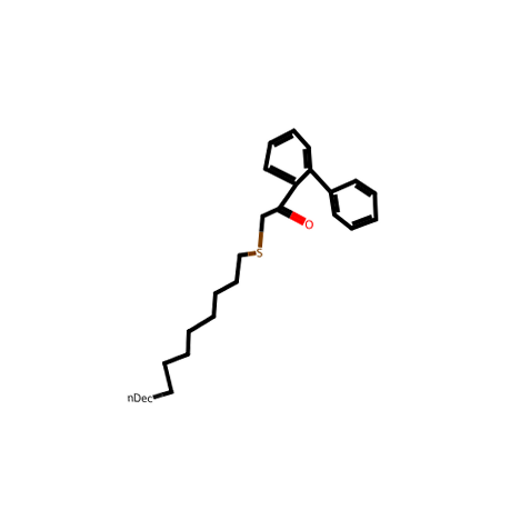 CCCCCCCCCCCCCCCCCCSCC(=O)c1ccccc1-c1ccccc1